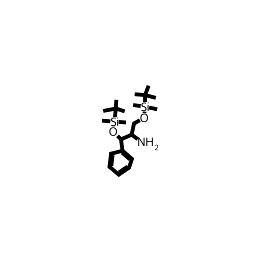 CC(C)(C)[Si](C)(C)OCC(N)C(O[Si](C)(C)C(C)(C)C)c1ccccc1